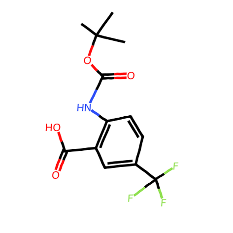 CC(C)(C)OC(=O)Nc1ccc(C(F)(F)F)cc1C(=O)O